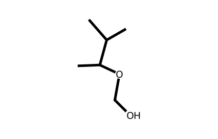 CC(C)C(C)OCO